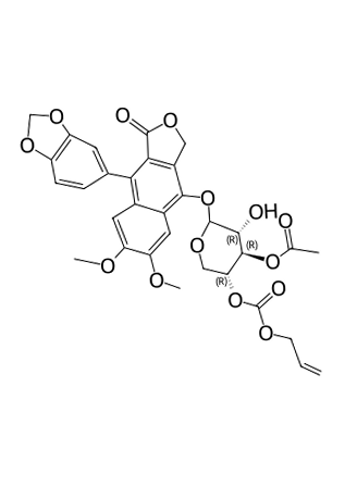 C=CCOC(=O)O[C@@H]1COC(Oc2c3c(c(-c4ccc5c(c4)OCO5)c4cc(OC)c(OC)cc24)C(=O)OC3)[C@H](O)[C@H]1OC(C)=O